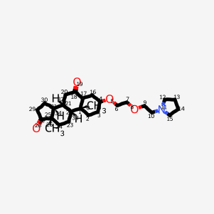 C[C@]12CCC(OCCOCCN3CCCC3)CC1C(=O)C[C@@H]1[C@H]2CC[C@]2(C)C(=O)CC[C@@H]12